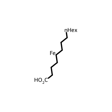 CCCCCCCCCCCCCC(=O)O.[Fe]